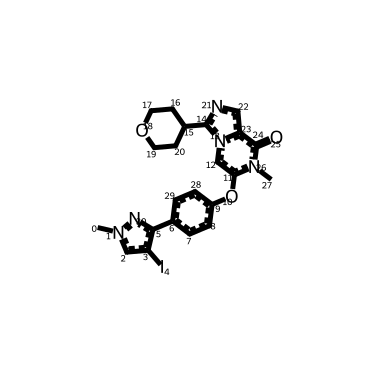 Cn1cc(I)c(-c2ccc(Oc3cn4c(C5CCOCC5)ncc4c(=O)n3C)cc2)n1